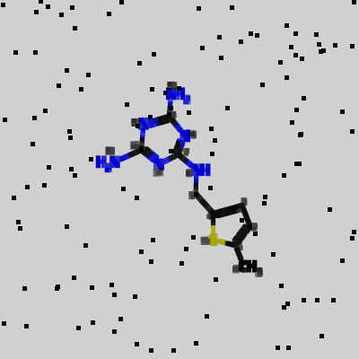 Cc1ccc(CNc2nc(N)nc(N)n2)s1